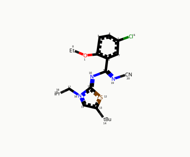 CCOc1ccc(Cl)cc1C(/N=c1\sc(C(C)(C)C)cn1CC(C)C)=N\C#N